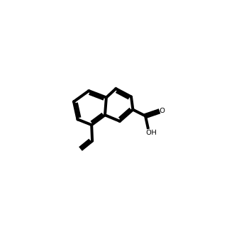 C=Cc1cccc2ccc(C(=O)O)cc12